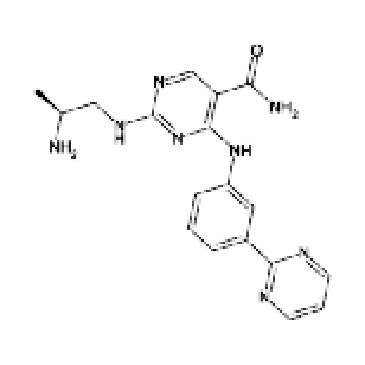 C[C@H](N)CNc1ncc(C(N)=O)c(Nc2cccc(-c3ncccn3)c2)n1